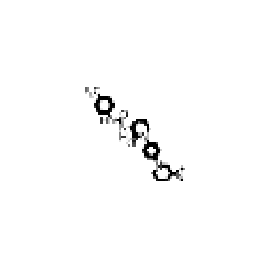 CN(C)C1CCCN(c2ccc(N3CCC[C@@H](NC(=O)Nc4ccc(C(F)(F)F)cc4)C3=O)cc2)C1